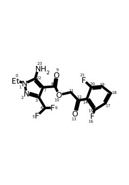 CCn1nc(C(F)F)c(C(=O)OCC(=O)c2c(F)cccc2F)c1N